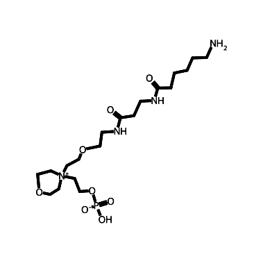 NCCCCCC(=O)NCCC(=O)NCCOCC[N+]1(CCOP(=O)([O-])O)CCOCC1